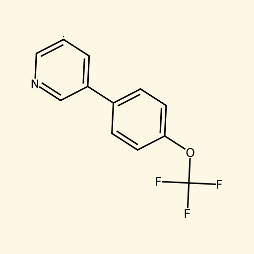 FC(F)(F)Oc1ccc(-c2c[c]cnc2)cc1